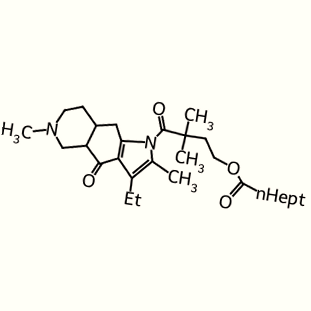 CCCCCCCC(=O)OCCC(C)(C)C(=O)n1c(C)c(CC)c2c1CC1CCN(C)CC1C2=O